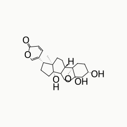 C[C@]12CC[C@H]3C(CC[C@]4(O)C[C@@H](O)CC[C@]34C=O)[C@@]1(O)CC[C@@H]2c1ccc(=O)oc1